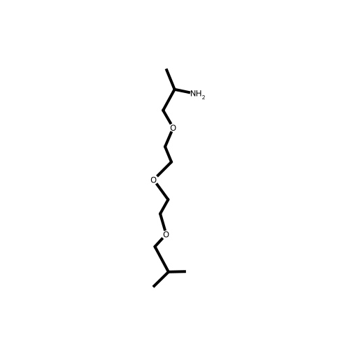 CC(C)COCCOCCOCC(C)N